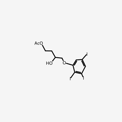 CC(=O)OCCC(O)COc1cc(I)cc(I)c1I